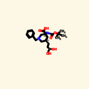 CC(C)(C)OC(=O)N[C@@]1(C(=O)O)C[C@@H](CCB(O)O)CN(Cc2ccccc2)C1